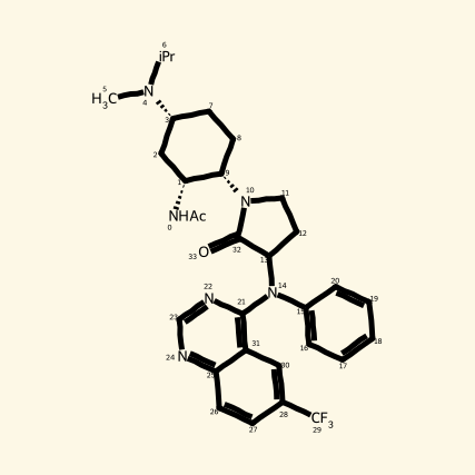 CC(=O)N[C@@H]1C[C@H](N(C)C(C)C)CC[C@@H]1N1CCC(N(c2ccccc2)c2ncnc3ccc(C(F)(F)F)cc23)C1=O